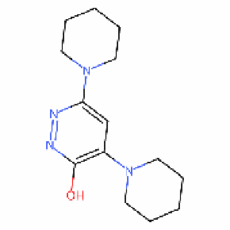 Oc1nnc(N2CCCCC2)cc1N1CCCCC1